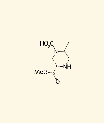 COC(=O)C1CN(C(=O)O)C(C)CN1